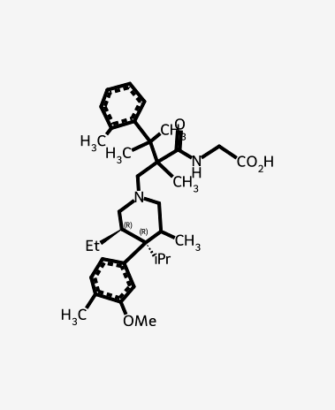 CC[C@H]1CN(CC(C)(C(=O)NCC(=O)O)C(C)(C)c2ccccc2C)CC(C)[C@]1(c1ccc(C)c(OC)c1)C(C)C